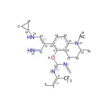 C=N/C(=N\C(=C/C)C(F)(F)F)Oc1c(/C(C=N)=C/NC2CC2)ccc2c1CCC(C)N2C(C)=O